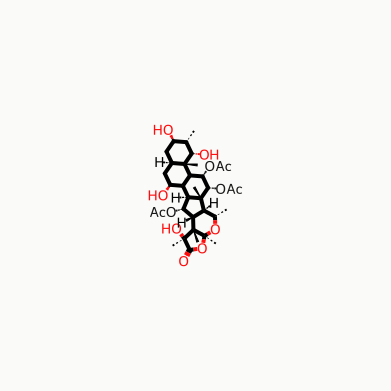 CC(=O)O[C@H]1[C@@H]2[C@H]([C@H](C)O[C@@]3(C)OC(=O)[C@@](C)(O)[C@]23C)[C@]2(C)[C@@H]1C1C([C@H](OC(C)=O)[C@@H]2OC(C)=O)[C@]2(C)[C@H](C[C@@H](O)[C@H](C)[C@@H]2O)C[C@@H]1O